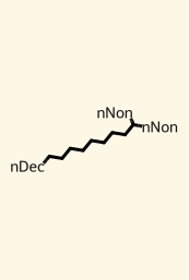 CCCCCCCCCCCCCCCCCC[C](CCCCCCCCC)CCCCCCCCC